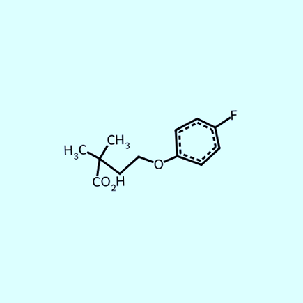 CC(C)(CCOc1ccc(F)cc1)C(=O)O